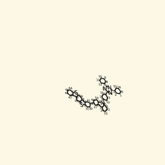 c1ccc(-c2nc(-c3ccccc3)nc(-c3ccc(-n4c5ccccc5c5cc(-c6ccc7sc8cc9c(cc8c7c6)sc6ccccc69)ccc54)cc3)n2)cc1